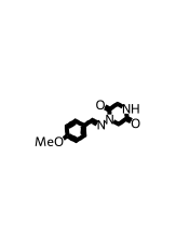 COc1ccc(C=NN2CC(=O)NCC2=O)cc1